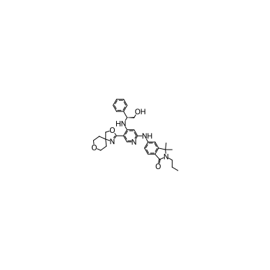 CCCN1C(=O)c2ccc(Nc3cc(N[C@H](CO)c4ccccc4)c(C4=NC5(CCOCC5)CO4)cn3)cc2C1(C)C